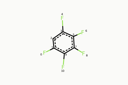 Fc1[c]c(F)c(F)c(F)c1F